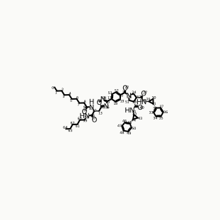 CCCCCCCCCC(=O)N[C@@H](Cc1nc(-c2ccc(C(=O)N3C[C@@H](C(=O)N[C@H]4C[C@@H]4c4ccccc4)[C@H](C(=O)N[C@H]4C[C@@H]4c4ccccc4)C3)cc2)no1)C(=O)NCCCCCC